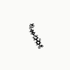 CC(C)(C)[Si](C)(C)OC1CC2(C1)CC(N1CC=C(c3ccc([N+](=O)[O-])cc3F)CC1)C2